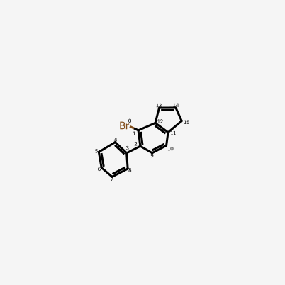 Brc1c(-c2ccccc2)ccc2c1C=CC2